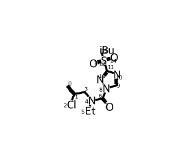 C=C(Cl)CN(CC)C(=O)n1cnc(S(=O)(=O)C(C)CC)n1